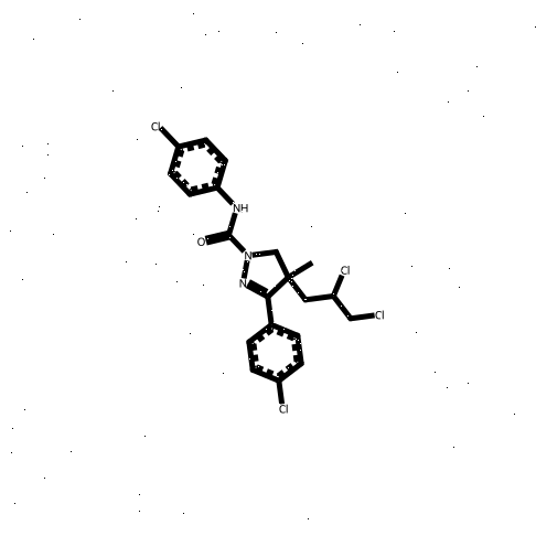 CC1(CC(Cl)CCl)CN(C(=O)Nc2ccc(Cl)cc2)N=C1c1ccc(Cl)cc1